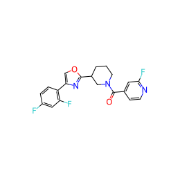 O=C(c1ccnc(F)c1)N1CCCC(c2nc(-c3ccc(F)cc3F)co2)C1